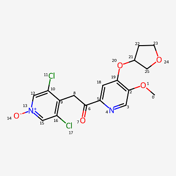 COc1cnc(C(=O)Cc2c(Cl)c[n+]([O-])cc2Cl)cc1OC1CCOC1